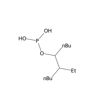 CCCCC(CC)C(CCCC)OP(O)O